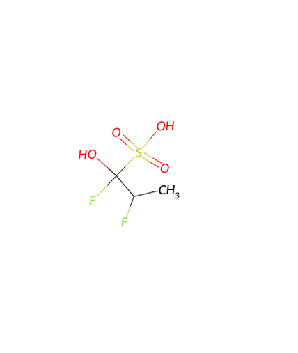 CC(F)C(O)(F)S(=O)(=O)O